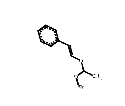 CC(C)OC(C)OC=Cc1ccccc1